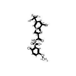 COc1ccc(Cl)c(S(=O)(=O)NC(=O)c2cn3cc(C(F)(F)F)cc(Br)c3n2)c1